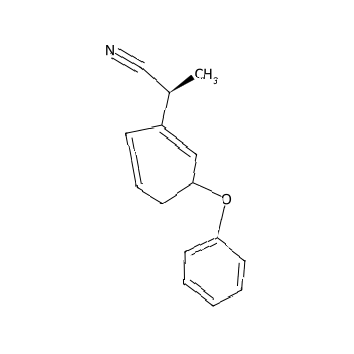 C[C@H](C#N)C1=CC(Oc2ccccc2)CC=C1